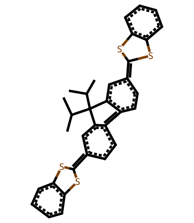 CC(C)C1(C(C)C)c2cc(=C3Sc4ccccc4S3)ccc2=c2ccc(=C3Sc4ccccc4S3)cc21